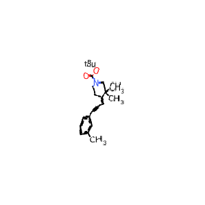 Cc1cccc(C#C/C=C2\CCN(C(=O)OC(C)(C)C)CC2(C)C)c1